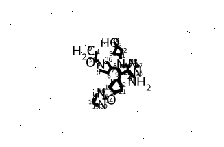 C=CC(=O)N1CCC(c2c(-c3ccc(Oc4ncccn4)cc3)c3c(N)ncnc3n2C2CC(O)C2)C1